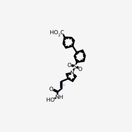 O=C(/C=C/c1ccn(S(=O)(=O)c2cccc(-c3ccc(C(=O)O)cc3)c2)c1)NO